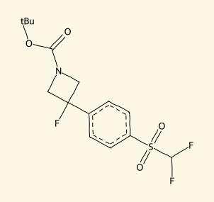 CC(C)(C)OC(=O)N1CC(F)(c2ccc(S(=O)(=O)C(F)F)cc2)C1